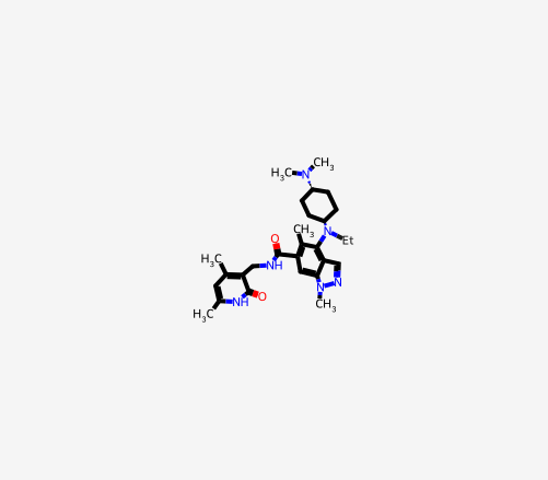 CCN(c1c(C)c(C(=O)NCc2c(C)cc(C)[nH]c2=O)cc2c1cnn2C)[C@H]1CC[C@@H](N(C)C)CC1